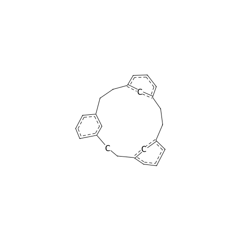 c1cc2cc(c1)CCc1cccc(c1)CCc1cccc(c1)CC2